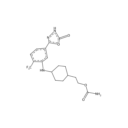 NC(=O)OCCC1CCC(Nc2cc(-c3n[nH]c(=O)o3)ccc2C(F)(F)F)CC1